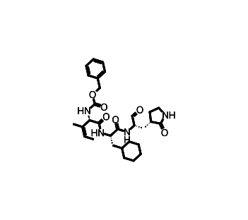 C/C=C(/C)[C@H](NC(=O)OCc1ccccc1)C(=O)N[C@@H](CC1CCCCC1)C(=O)N[C@H](C=O)C[C@@H]1CCNC1=O